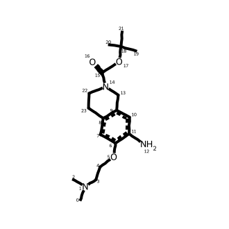 CN(C)CCOc1cc2c(cc1N)CN(C(=O)OC(C)(C)C)CC2